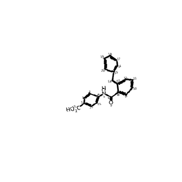 O=C(O)c1ccc(NC(=O)c2ccccc2Cc2ccccc2)cc1